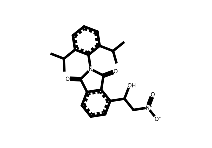 CC(C)c1cccc(C(C)C)c1N1C(=O)c2cccc(C(O)C[N+](=O)[O-])c2C1=O